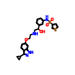 O=S(=O)(Nc1cccc([C@@H](O)CNCCOc2ccc3c(C4CC4)n[nH]c3c2)c1)c1ccsc1